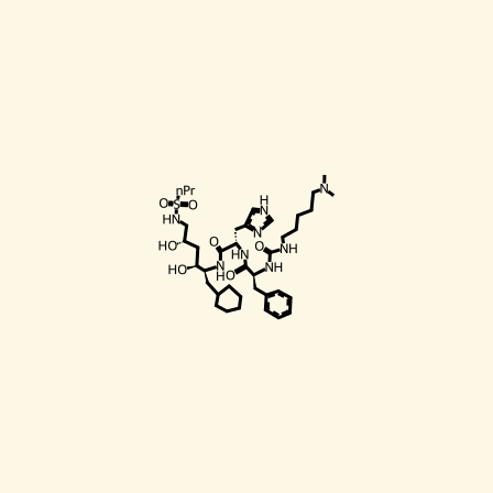 CCCS(=O)(=O)NC[C@@H](O)C[C@H](O)[C@H](CC1CCCCC1)NC(=O)[C@H](Cc1c[nH]cn1)NC(=O)[C@H](Cc1ccccc1)NC(=O)NCCCCCN(C)C